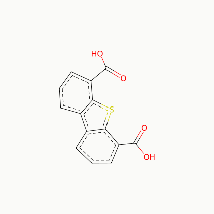 O=C(O)c1cccc2c1sc1c(C(=O)O)cccc12